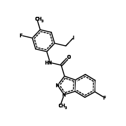 Cc1cc(CI)c(NC(=O)c2nn(C)c3cc(F)ccc23)cc1F